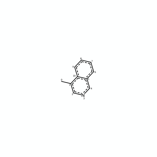 Cc1cncc2ccccc12